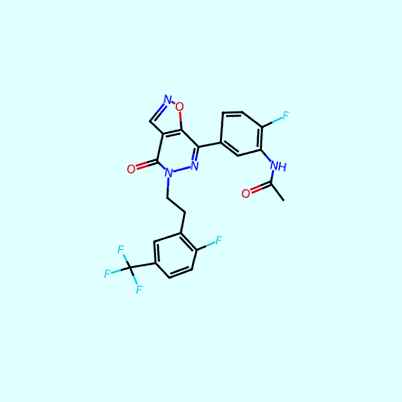 CC(=O)Nc1cc(-c2nn(CCc3cc(C(F)(F)F)ccc3F)c(=O)c3cnoc23)ccc1F